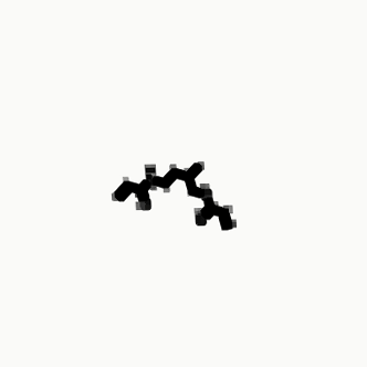 C=CC(=O)NCCC(C)COC(=O)C=C